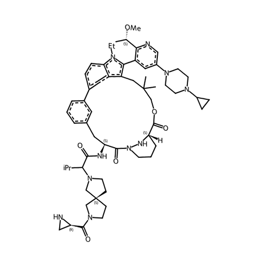 CCn1c(-c2cc(N3CCN(C4CC4)CC3)cnc2[C@H](C)OC)c2c3cc(ccc31)-c1cccc(c1)C[C@H](NC(=O)C(C(C)C)N1CC[C@]3(CCN(C(=O)[C@H]4CN4)C3)C1)C(=O)N1CCC[C@H](N1)C(=O)OCC(C)(C)C2